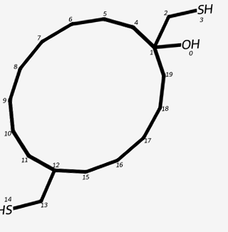 OC1(CS)CCCCCCCCC(CS)CCCCC1